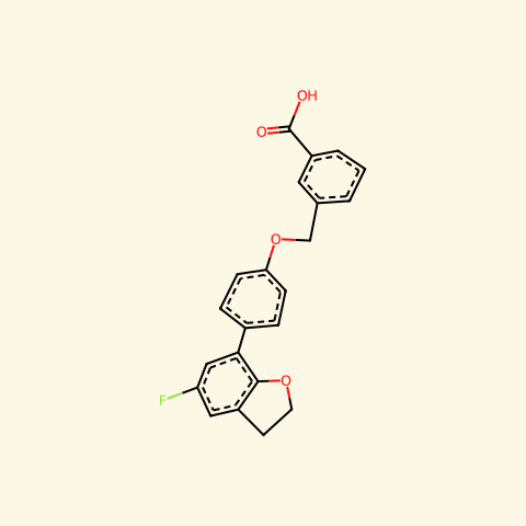 O=C(O)c1cccc(COc2ccc(-c3cc(F)cc4c3OCC4)cc2)c1